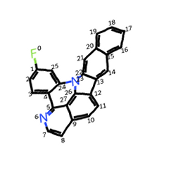 Fc1ccc2c3nccc4ccc5c6cc7ccccc7cc6n(c2c1)c5c43